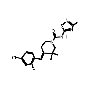 Cc1nsc(NC(=O)N2CC/C(=C\c3ccc(Cl)cc3F)C(C)(C)C2)n1